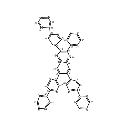 c1ccc(-c2ccc(-c3cc4nc(-c5ccccc5)c(-c5ccc(-c6ccccn6)cc5)nc4cc3-c3ccc(-c4ccccc4)cc3)cc2)cc1